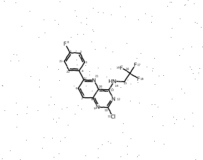 Fc1ccc(-c2ccc3nc(Cl)nc(NCC(F)(F)F)c3n2)cc1